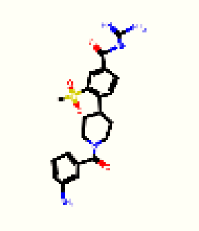 CS(=O)(=O)c1cc(C(=O)NC(=N)N)ccc1C1CCN(C(=O)c2cccc(N)c2)CC1